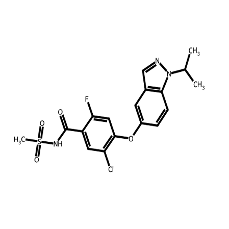 CC(C)n1ncc2cc(Oc3cc(F)c(C(=O)NS(C)(=O)=O)cc3Cl)ccc21